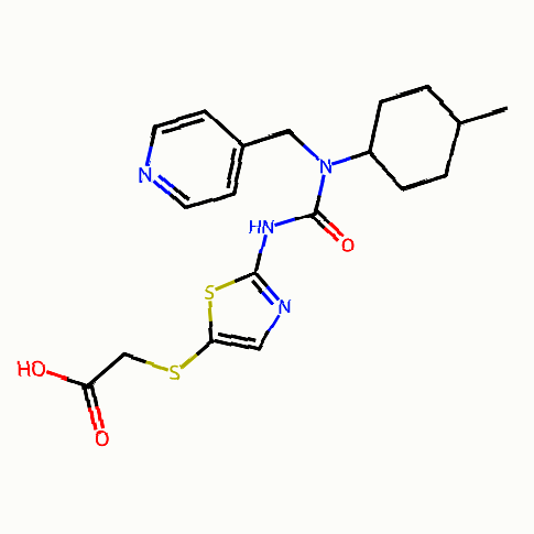 CC1CCC(N(Cc2ccncc2)C(=O)Nc2ncc(SCC(=O)O)s2)CC1